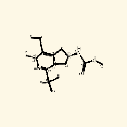 CCC1=C2C[C@@H](NC(=O)OC)CN2C(C(C)(C)C)=N[C@H]1C